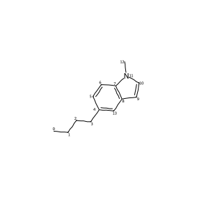 CCCCc1ccc2c(ccn2C)c1